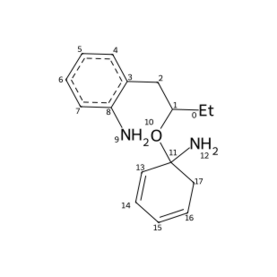 CCC(Cc1ccccc1N)OC1(N)C=CC=CC1